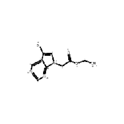 CCOC(=O)Cn1cc(Br)c2cncnc21